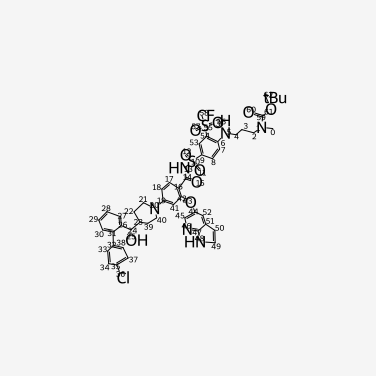 CN(CCCNc1ccc(S(=O)(=O)NC(=O)c2ccc(N3CCC([C@H](O)c4ccccc4-c4ccc(Cl)cc4)CC3)cc2Oc2cnc3[nH]ccc3c2)cc1S(=O)(=O)C(F)(F)F)C(=O)OC(C)(C)C